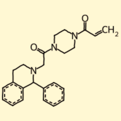 C=CC(=O)N1CCN(C(=O)CN2CCc3ccccc3C2c2ccccc2)CC1